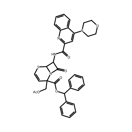 CC(=O)OCC1(C(=O)OC(c2ccccc2)c2ccccc2)C=CSC2C(NC(=O)c3cc(N4CCOCC4)c4ccccc4n3)C(=O)N21